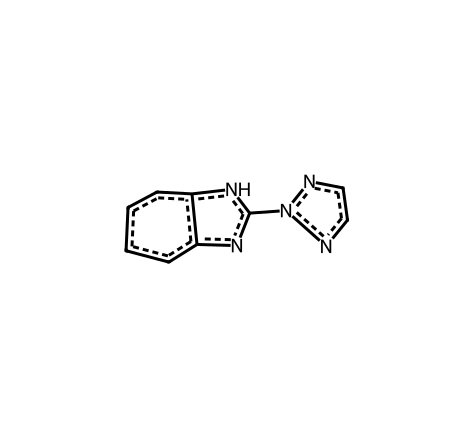 c1ccc2[nH]c(-n3nccn3)nc2c1